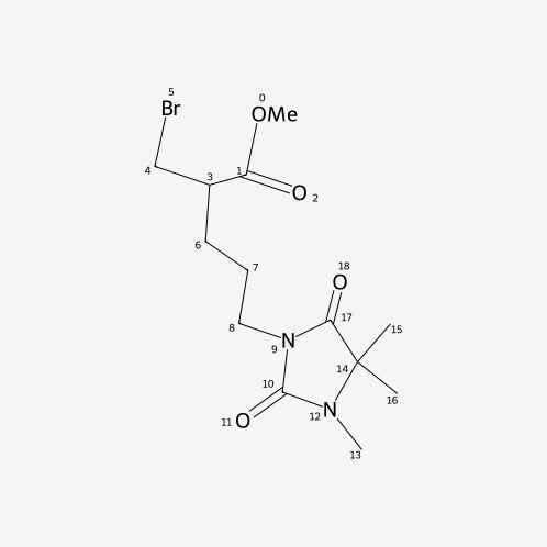 COC(=O)C(CBr)CCCN1C(=O)N(C)C(C)(C)C1=O